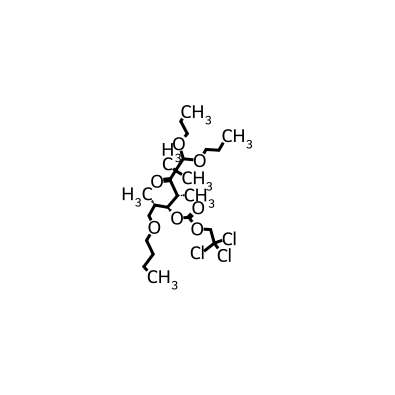 CCCCOC[C@H](C)[C@H](OC(=O)OCC(Cl)(Cl)Cl)[C@@H](C)C(=O)C(C)(C)C(OCCC)OCCC